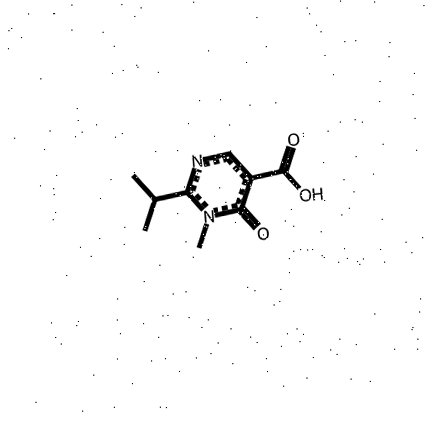 CC(C)c1ncc(C(=O)O)c(=O)n1C